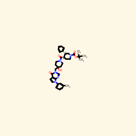 Cc1cccc(-n2ccc3c(=O)n(CC4(O)CCN(C(=O)[C@@H]5CCN(C(=O)OC(C)(C)C)C[C@H]5c5ccccc5)CC4)cnc32)c1